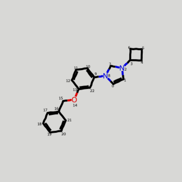 C1=CN(C2CCC2)CN1c1cccc(OCc2ccccc2)c1